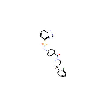 O=C(c1ccc(NS(=O)(=O)c2cccc3[nH]cnc23)cc1)N1CCC(O)(c2ccccc2Cl)CC1